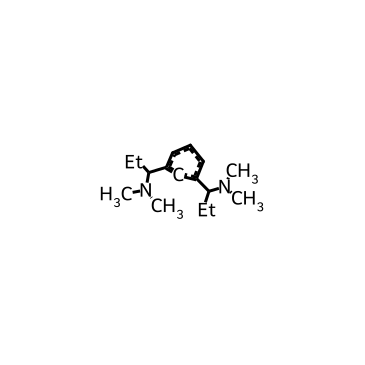 CCC(c1cccc(C(CC)N(C)C)c1)N(C)C